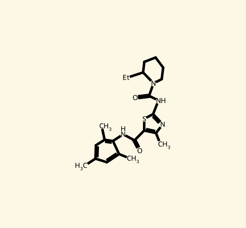 CCC1CCCCN1C(=O)Nc1nc(C)c(C(=O)Nc2c(C)cc(C)cc2C)s1